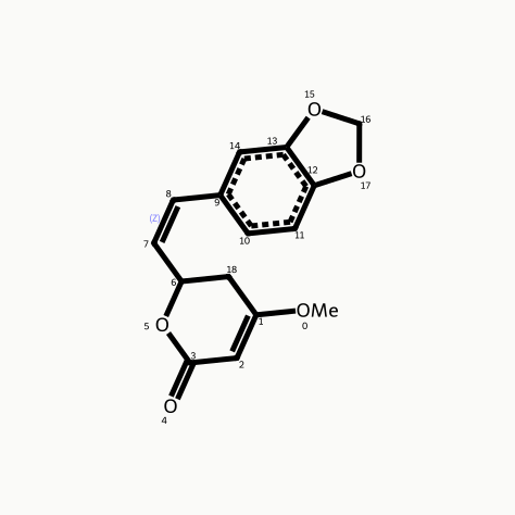 COC1=CC(=O)OC(/C=C\c2ccc3c(c2)OCO3)C1